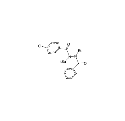 CCN(C(=O)c1ccccc1)N(C(=O)c1ccc(Cl)cc1)C(C)(C)C